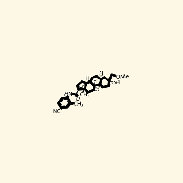 CC[C@]12CC[C@](O)(COC)C[C@@H]1CC[C@H]1[C@@H]3CC[C@H](C(=O)Nc4ccc(C#N)cc4C)[C@@]3(C)CC[C@@H]12